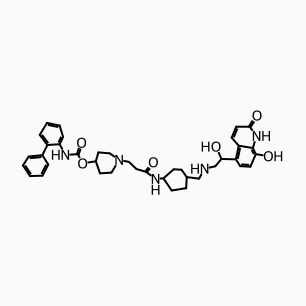 O=C(CCN1CCC(OC(=O)Nc2ccccc2-c2ccccc2)CC1)NC1CCC(CNCC(O)c2ccc(O)c3[nH]c(=O)ccc23)CC1